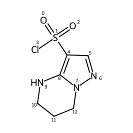 O=S(=O)(Cl)c1cnn2c1NCCC2